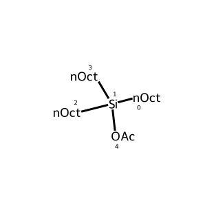 CCCCCCCC[Si](CCCCCCCC)(CCCCCCCC)OC(C)=O